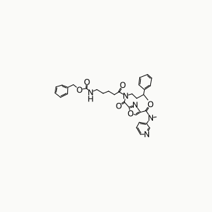 CC(CCN(C(=O)CCCCNC(=O)OCc1ccccc1)C(=O)c1nc(C(=O)N(C)c2cccnc2)co1)c1ccccc1